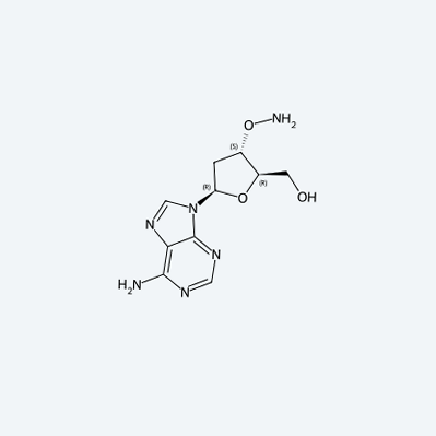 NO[C@H]1C[C@H](n2cnc3c(N)ncnc32)O[C@@H]1CO